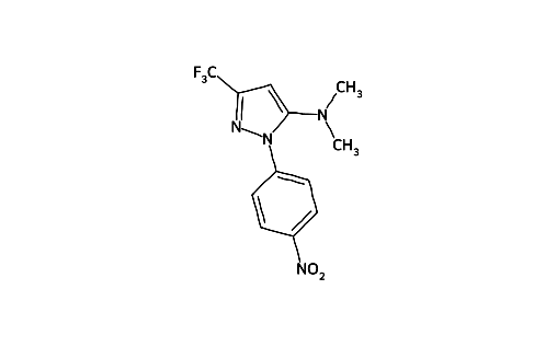 CN(C)c1cc(C(F)(F)F)nn1-c1ccc([N+](=O)[O-])cc1